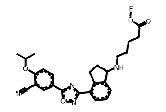 CC(C)Oc1ccc(-c2nc(-c3cccc4c3CCC4NCCCCC(=O)OF)no2)cc1C#N